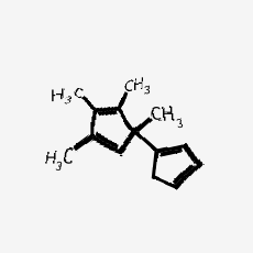 CC1=[C]C(C)(C2=CC=CC2)C(C)=C1C